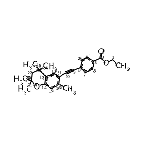 CCOC(=O)c1ccc(C#Cc2cc3c(cc2C)OC(C)(C)CC3(C)C)cc1